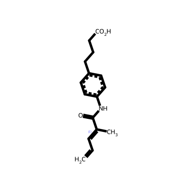 C=C/C=C(\C)C(=O)Nc1ccc(CCCC(=O)O)cc1